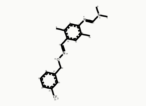 Cc1cc(N=CN(C)C)c(C)cc1C=NOCc1cccc(C(F)(F)F)c1